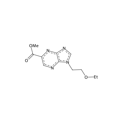 CCOCCn1cnc2nc(C(=O)OC)cnc21